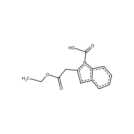 CCOC(=O)Cc1cc2ccccc2n1C(=O)O